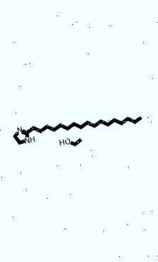 CCCCCCCCCCCCCCCCCC1=NCCN1.CCO